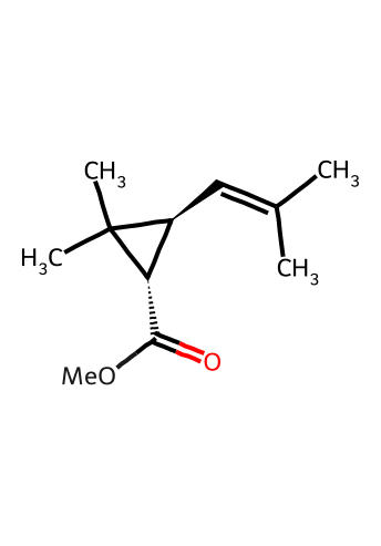 COC(=O)[C@H]1[C@H](C=C(C)C)C1(C)C